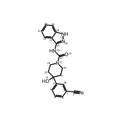 N#Cc1cccc(C2(O)CCN(C(=O)Nc3n[nH]c4ccccc34)CC2)c1